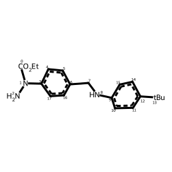 CCOC(=O)N(N)c1ccc(CNc2ccc(C(C)(C)C)cc2)cc1